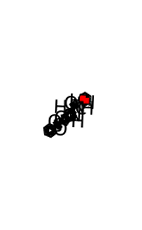 C[C@H]1[C@H](NC(=O)c2cc3oc(S(=O)(=O)c4ccccc4)cc3cn2)C2CCN1CC2